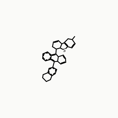 CC1C=CC2=C(C1)C1C=CCC(C3=c4ccccc4=C(c4ccc5c(c4)CCCC5)C4C=CC=CC34)C1S2